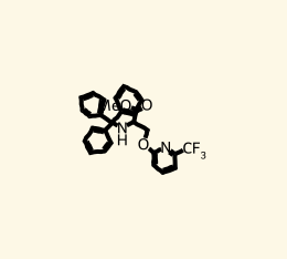 COC(=O)C(COc1cccc(C(F)(F)F)n1)NC(c1ccccc1)(c1ccccc1)c1ccccc1